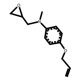 C=CCOc1ccc(N(C)CC2CO2)cc1